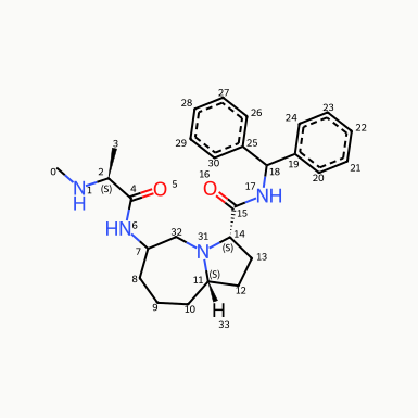 CN[C@@H](C)C(=O)NC1CCC[C@H]2CC[C@@H](C(=O)NC(c3ccccc3)c3ccccc3)N2C1